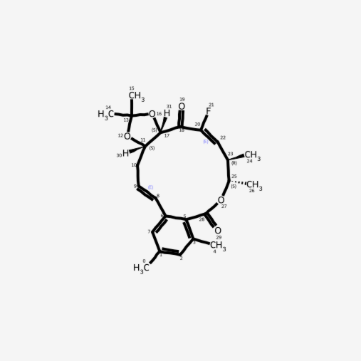 Cc1cc(C)c2c(c1)/C=C/C[C@@H]1OC(C)(C)O[C@@H]1C(=O)/C(F)=C\[C@@H](C)[C@H](C)OC2=O